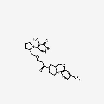 O=C(CCOC[C@@H]1CCCN1c1cn[nH]c(=O)c1C(F)(F)F)N1CCN2c3ncc(C(F)(F)F)cc3OCC2C1